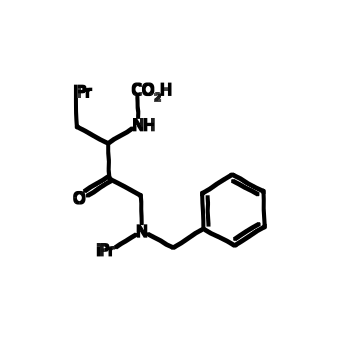 CC(C)CC(NC(=O)O)C(=O)CN(Cc1ccccc1)C(C)C